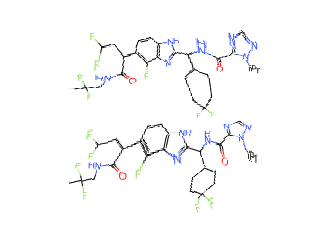 CC(C)n1ncnc1C(=O)NC(c1nc2c(F)c(C(CC(F)F)C(=O)NCC(C)(F)F)ccc2[nH]1)C1CCC(F)(F)CC1.CC(C)n1ncnc1C(=O)NC(c1nc2c(F)c(C(CC(F)F)C(=O)NCC(C)(F)F)ccc2[nH]1)C1CCC(F)(F)CC1